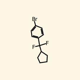 FC(F)(c1ccc(Br)cc1)C1CCCC1